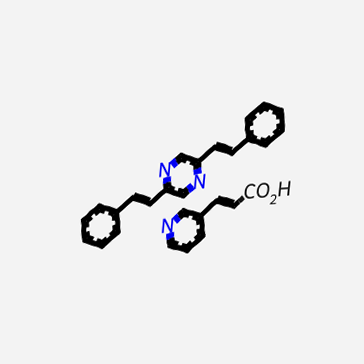 C(=C\c1cnc(/C=C/c2ccccc2)cn1)/c1ccccc1.O=C(O)/C=C/c1cccnc1